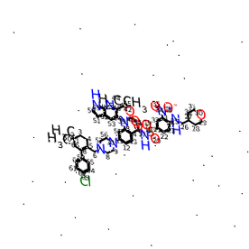 CC1(C)CCC(CN2CCN(c3ccc(C(=O)NS(=O)(=O)c4ccc(NCC5CCOCC5)c([N+](=O)[O-])c4)c(N4C(=O)OC(C)(C)c5nc6[nH]ccc6cc54)c3)CC2)=C(c2ccc(Cl)cc2)C1